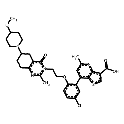 COC1CCN(C2CCc3nc(C)n(CCOc4ccc(Cl)cc4-c4cc(C)nc5c(C(=O)O)csc45)c(=O)c3C2)CC1